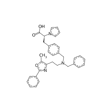 Cc1oc(-c2ccccc2)nc1CCN(Cc1ccccc1)Cc1ccc(C[C@@H](C(=O)O)n2cccc2)cc1